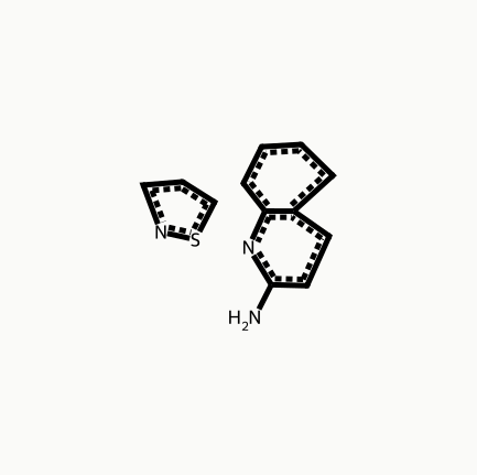 Nc1ccc2ccccc2n1.c1cnsc1